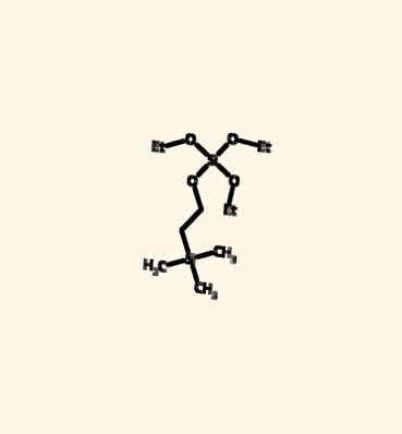 CCO[Si](OCC)(OCC)OCC[Si](C)(C)C